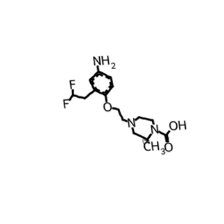 C[C@H]1CN(CCOc2ccc(N)cc2CC(F)F)CCN1C(=O)O